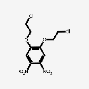 O=[N+]([O-])c1cc(OCCCl)c(OCCCl)cc1[N+](=O)[O-]